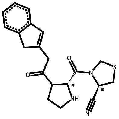 N#C[C@@H]1CSCN1C(=O)[C@@H]1NCCC1C(=O)CC1=Cc2ccccc2C1